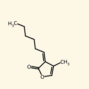 CCCCCC=C1C(=O)OC=C1C